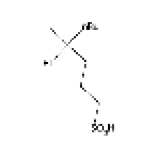 CCCCC(C)(CC)CCCS(=O)(=O)O